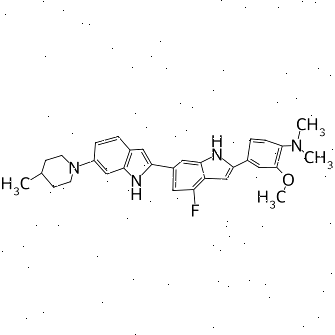 COc1cc(-c2cc3c(F)cc(-c4cc5ccc(N6CCC(C)CC6)cc5[nH]4)cc3[nH]2)ccc1N(C)C